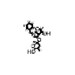 CC(CC(=O)Oc1cn(Cc2ccccc2)c2occ(O)c12)C(=O)O